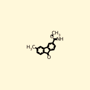 COC(=N)c1ccc2c(c1)-c1cc(C)ccc1C2=O